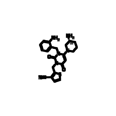 N#Cc1ccsc1Cn1c(=O)cc(N2CCC[C@@H](N)C2)n(Cc2ccccc2N)c1=O